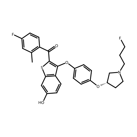 Cc1cc(F)ccc1C(=O)c1sc2cc(O)ccc2c1Oc1ccc(O[C@H]2CCN(CCCF)C2)cc1